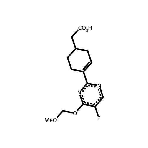 COCOc1nc(C2=CCC(CC(=O)O)CC2)ncc1F